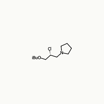 CC(C)COC[C@H](Cl)CN1CCCC1